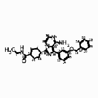 CCNC(=O)[C@H]1CC[C@H](c2nc(-c3cccc(OCc4ccccc4)c3)c3c(N)nccn32)CC1